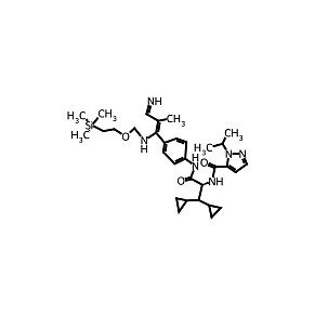 C/C(C=N)=C(/NCOCC[Si](C)(C)C)c1ccc(NC(=O)[C@@H](NC(=O)c2ccnn2C(C)C)C(C2CC2)C2CC2)cc1